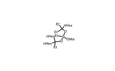 CCCCCCC(CC)(CC)O[Si](CC)(OC)OC(CC)(CCCCCC)CCCCCC